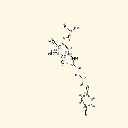 O[C@@H]1[C@@H](O)[C@@H](O)C(COC(F)F)=C[C@H]1NCCCCCOc1ccc(F)cc1